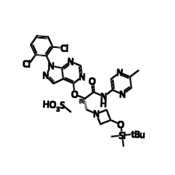 CS(=O)(=O)O.Cc1cnc(NC(=O)[C@H](CN2CC(O[Si](C)(C)C(C)(C)C)C2)Oc2ncnc3c2cnn3-c2c(Cl)cccc2Cl)cn1